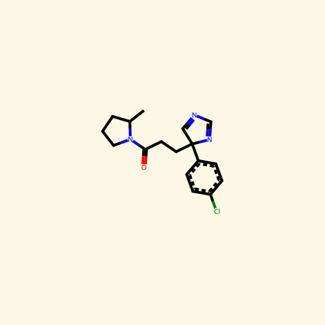 CC1CCCN1C(=O)CCC1(c2ccc(Cl)cc2)C=NC=N1